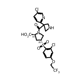 O=C(O)[C@@H]1C[C@@H](S(=O)(=O)c2ccc(OCC(F)(F)F)cc2Cl)CN1C(=O)C1(c2ccc(Cl)cn2)CNC1